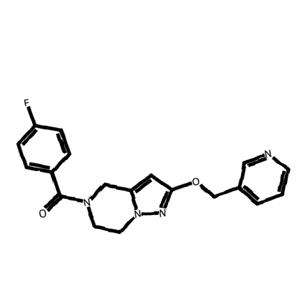 O=C(c1ccc(F)cc1)N1CCn2nc(OCc3cccnc3)cc2C1